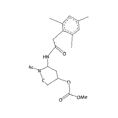 COC(=O)OC1CCN(C(C)=O)C(NC(=O)Cc2c(C)cc(C)cc2C)C1